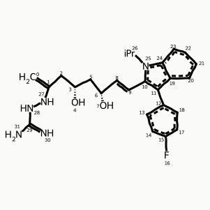 C=C(C[C@@H](O)C[C@@H](O)/C=C/c1c(-c2ccc(F)cc2)c2ccccc2n1C(C)C)NNC(=N)N